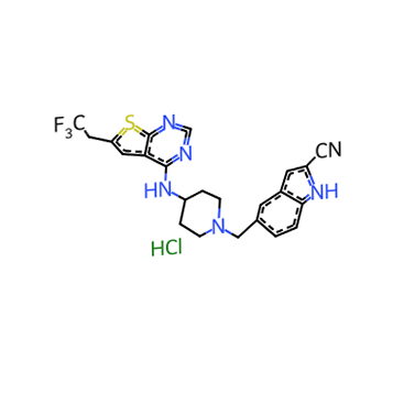 Cl.N#Cc1cc2cc(CN3CCC(Nc4ncnc5sc(CC(F)(F)F)cc45)CC3)ccc2[nH]1